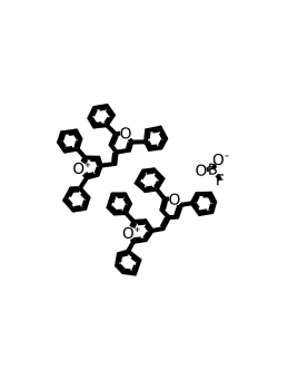 C(=C1C=C(c2ccccc2)OC(c2ccccc2)=C1)c1cc(-c2ccccc2)[o+]c(-c2ccccc2)c1.C(=C1C=C(c2ccccc2)OC(c2ccccc2)=C1)c1cc(-c2ccccc2)[o+]c(-c2ccccc2)c1.[O-]B([O-])F